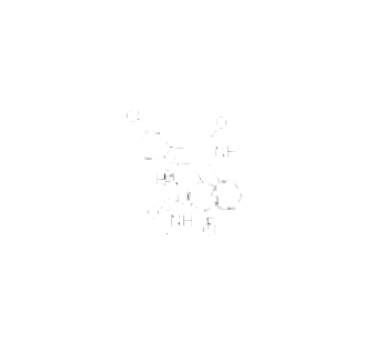 Cc1ccc(F)cc1[C@@H]1NC(=O)C[C@H](c2cc(Cl)ccc2OCS(=O)(=O)NC(C)(C)C)[C@@]12C(=O)Nc1cc(Cl)ccc12